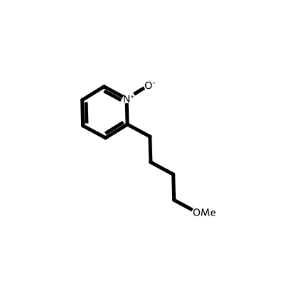 COCCCCc1cccc[n+]1[O-]